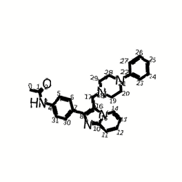 CC(=O)Nc1ccc(-c2nc3ccccn3c2CN2CCN(c3ccccc3)CC2)cc1